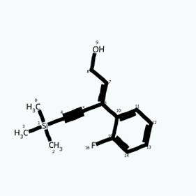 C[Si](C)(C)C#CC(=CCO)c1ccccc1F